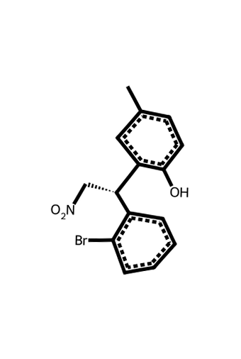 Cc1ccc(O)c([C@@H](C[N+](=O)[O-])c2ccccc2Br)c1